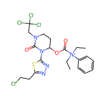 CC[N+](CC)(C(=O)OC1CCN(CC(Cl)(Cl)Cl)C(=O)N1c1nnc(CCCl)s1)c1ccccc1